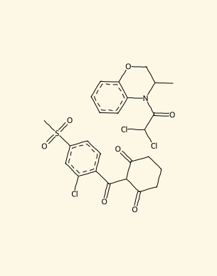 CC1COc2ccccc2N1C(=O)C(Cl)Cl.CS(=O)(=O)c1ccc(C(=O)C2C(=O)CCCC2=O)c(Cl)c1